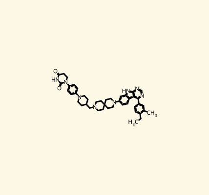 CCc1ccc(-c2ncnc3[nH]c4cc(N5CCC6(CCN(CC7CCN(c8ccc(N9CCC(=O)NC9=O)cc8)CC7)CC6)CC5)ccc4c23)cc1C